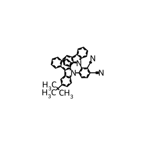 CC(C)(C)c1ccc2c(c1)c1c3ccccc3ccc1n2-c1ccc(C#N)c(C#N)c1-n1c2ccccc2c2ccccc21